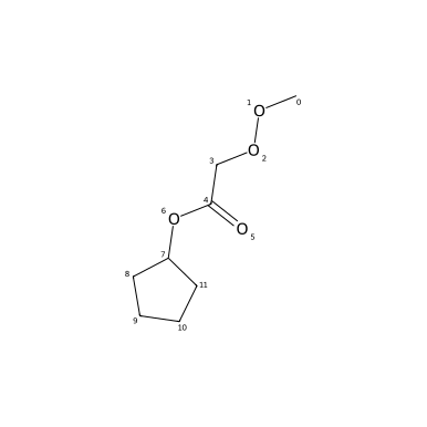 COOCC(=O)OC1CCCC1